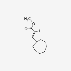 COC(=O)C(I)=CC1CCCCCCC1